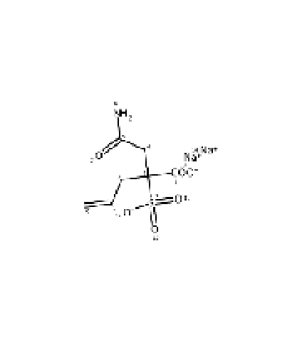 C=CCC(CC(N)=O)(C(=O)[O-])S(=O)(=O)[O-].[Na+].[Na+]